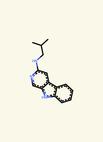 CC(C)CNc1cc2c(cn1)[nH]c1ccccc12